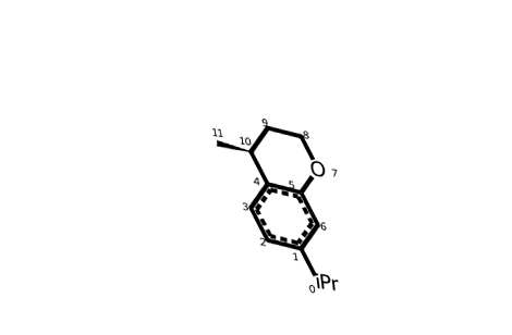 CC(C)c1ccc2c(c1)OCC[C@@H]2C